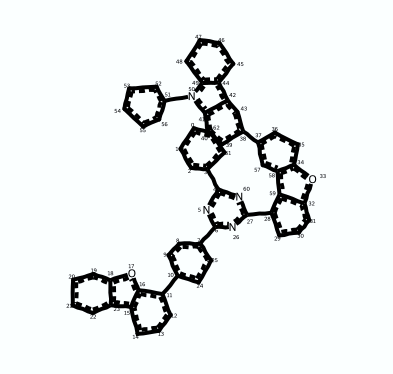 c1ccc(-c2nc(-c3ccc(-c4cccc5c4oc4ccccc45)cc3)nc(-c3cccc4oc5ccc(-c6ccc7c(c6)c6ccccc6n7-c6ccccc6)cc5c34)n2)cc1